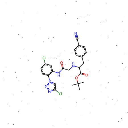 CC(C)(C)OC(=O)C(Cc1ccc(C#N)cc1)NCC(=O)Nc1cc(Cl)ccc1-n1cc(Cl)nn1